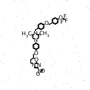 C[C@@H]1CN(c2ccc(OCC3CCn4cc([N+](=O)[O-])nc4O3)cc2)C[C@H](C)N1Cc1ccc(OCc2ccc(OC(F)(F)F)cc2)cc1